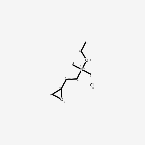 CCO[N+](C)(C)CCC1CO1.[Cl-]